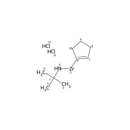 CC(C)(C)[NH][Zr][C]1=CCCC1.Cl.Cl